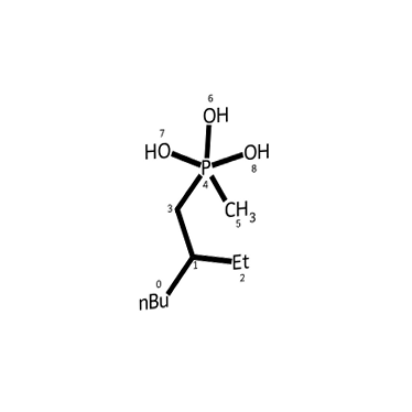 CCCCC(CC)CP(C)(O)(O)O